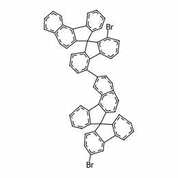 Brc1ccc2c(c1)-c1ccccc1C21c2ccccc2-c2c1ccc1ccc(-c3cccc4c3-c3cccc(Br)c3C43c4ccccc4-c4c3ccc3ccccc43)cc21